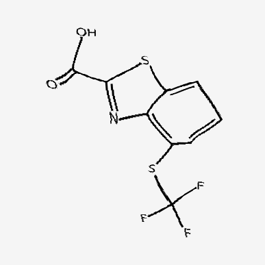 O=C(O)c1nc2c(SC(F)(F)F)cccc2s1